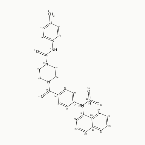 Cc1ccc(NC(=O)N2CCN(C(=O)c3ccc(N(c4cccc5cccnc45)[SH](=O)=O)cc3)CC2)cc1